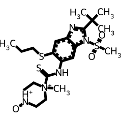 CCCSc1cc2nc(C(C)(C)C)n(S(C)(=O)=O)c2cc1NC(=S)[N+]1(C)CC[NH+]([O-])CC1